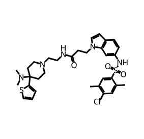 Cc1cc(S(=O)(=O)Nc2ccc3ccn(CCC(=O)NCCN4CCC(c5cccs5)(N(C)C)CC4)c3c2)c(C)cc1Cl